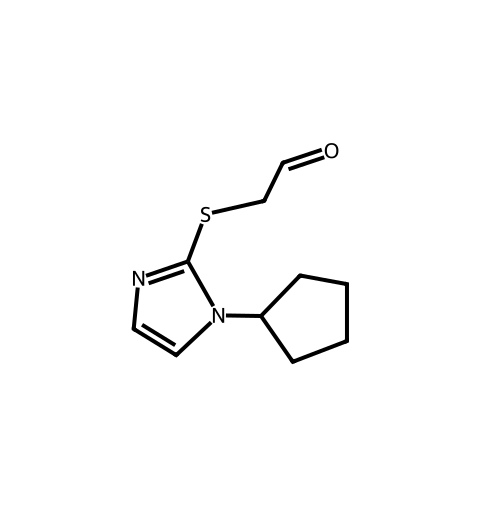 O=CCSc1nccn1C1CCCC1